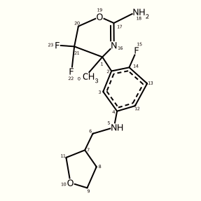 CC1(c2cc(NCC3CCOC3)ccc2F)N=C(N)OCC1(F)F